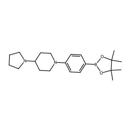 CC1(C)OB(c2ccc(N3CCC(N4CCCC4)CC3)cc2)OC1(C)C